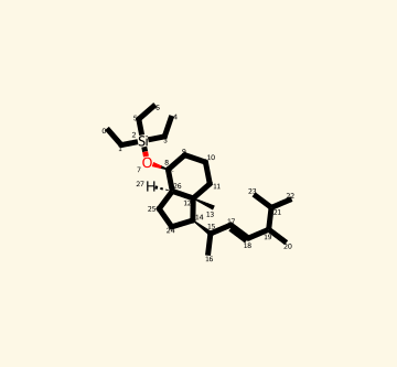 CC[Si](CC)(CC)O[C@H]1CCC[C@]2(C)[C@@H](C(C)C=CC(C)C(C)C)CC[C@@H]12